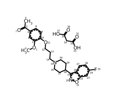 COc1cc(C(C)=O)ccc1OCCCN1CCC(c2noc3cc(F)ccc23)CC1.O=C(O)CC(=O)O